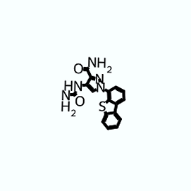 NC(=O)Nc1cn(-c2cccc3c2sc2ccccc23)nc1C(N)=O